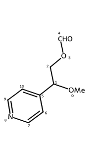 COC(COC=O)c1ccncc1